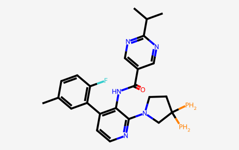 Cc1ccc(F)c(-c2ccnc(N3CCC(P)(P)C3)c2NC(=O)c2cnc(C(C)C)nc2)c1